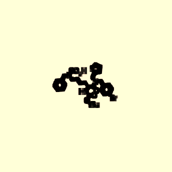 CC(C)(C)OC(=O)N[C@@H](CCCCN(Cc1ccccc1)C(=O)O)C(=O)N(Cc1ccc(Br)cc1)Cc1cccs1